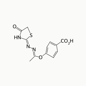 CC(=NN=C1NC(=O)CS1)Oc1ccc(C(=O)O)cc1